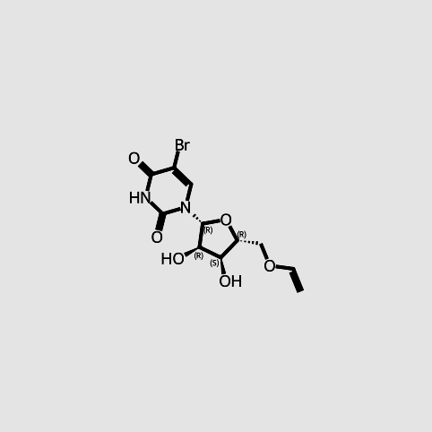 C=COC[C@H]1O[C@@H](n2cc(Br)c(=O)[nH]c2=O)[C@H](O)[C@@H]1O